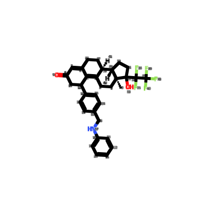 C[C@]12CCC3=C4C(=CC(=O)CC4c4ccc(CNc5ccccc5)cc4)CC[C@H]3[C@@H]1CCC2(O)C(F)(F)C(F)(F)F